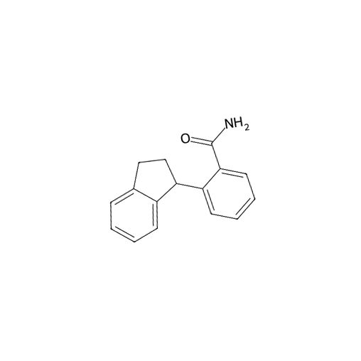 NC(=O)c1ccccc1C1CCc2ccccc21